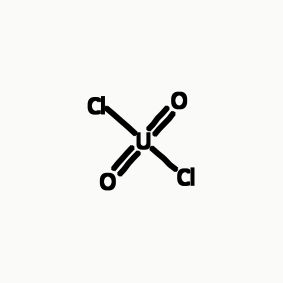 [O]=[U](=[O])([Cl])[Cl]